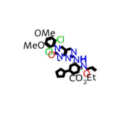 C=CC(=O)N[C@H]1C[C@H](C(=O)OCC)C(C2CCCC2)C[C@H]1Nc1ncc2c(n1)N(C)C(=O)N(c1c(Cl)c(OC)cc(OC)c1Cl)C2